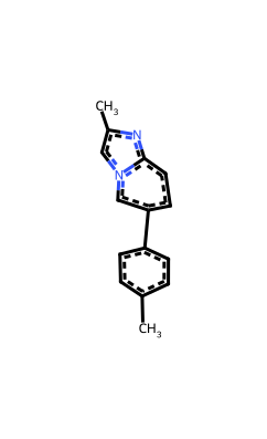 Cc1ccc(-c2ccc3nc(C)cn3c2)cc1